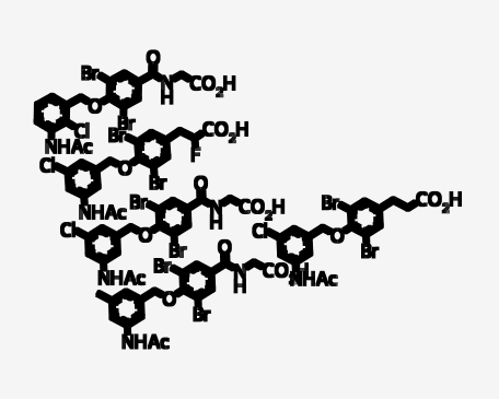 CC(=O)Nc1cc(C)cc(COc2c(Br)cc(C(=O)NCC(=O)O)cc2Br)c1.CC(=O)Nc1cc(Cl)cc(COc2c(Br)cc(C(=O)NCC(=O)O)cc2Br)c1.CC(=O)Nc1cc(Cl)cc(COc2c(Br)cc(CC(F)C(=O)O)cc2Br)c1.CC(=O)Nc1cc(Cl)cc(COc2c(Br)cc(CCC(=O)O)cc2Br)c1.CC(=O)Nc1cccc(COc2c(Br)cc(C(=O)NCC(=O)O)cc2Br)c1Cl